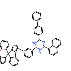 C1=CC2Oc3ccccc3C3(c4ccccc4-c4c(-c5cccc(C6NC(c7cccc8ccccc78)=NC(c7ccc(-c8ccccc8)cc7)N6)c5)cccc43)C2C=C1